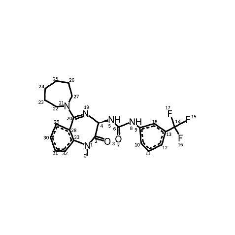 CN1C(=O)[C@H](NC(=O)Nc2cccc(C(F)(F)F)c2)N=C(N2CCCCCC2)c2ccccc21